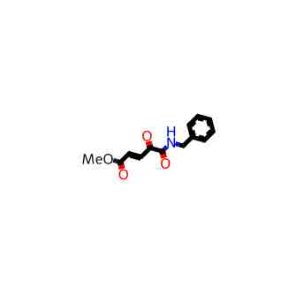 COC(=O)/C=C/C(=O)C(=O)NCc1ccccc1